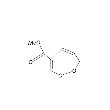 COC(=O)C1=COOCC=C1